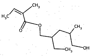 CC=C(C)C(=O)OCC(CC)CC(C)CO